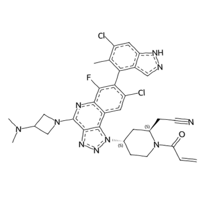 C=CC(=O)N1CC[C@H](n2nnc3c(N4CC(N(C)C)C4)nc4c(F)c(-c5c(C)c(Cl)cc6[nH]ncc56)c(Cl)cc4c32)C[C@H]1CC#N